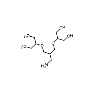 NCC(COC(CO)CO)COC(CO)CO